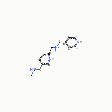 CNCc1ccc(CNCc2ccncc2)nc1